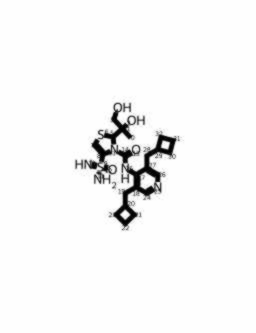 CC(O)(CO)C1SC=C(S(=N)(N)=O)N1C(=O)Nc1c(CC2CCC2)cncc1CC1CCC1